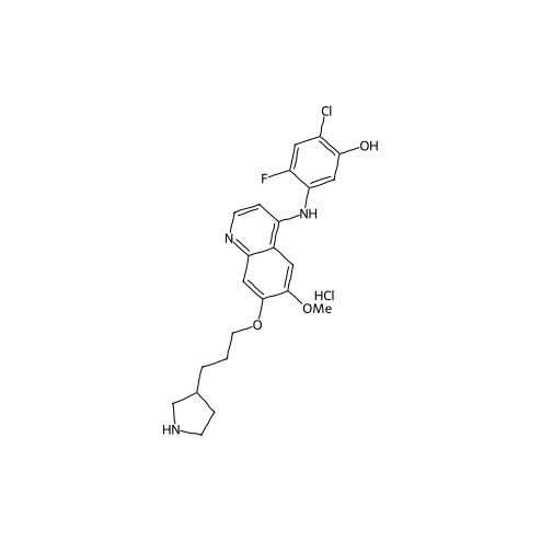 COc1cc2c(Nc3cc(O)c(Cl)cc3F)ccnc2cc1OCCCC1CCNC1.Cl